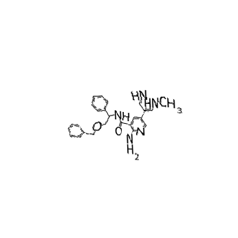 CN/C=C(\C=N)c1cnc(N)c(C(=O)NC(COCc2ccccc2)c2ccccc2)c1